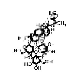 C=C1C[C@@]23CC[C@H]4[C@@](C)(CCC[C@@]4(C)C(=O)N[C@@H](C)C(=O)OC)[C@@H]2CC[C@]1(O[C@@H]1O[C@H](CO)[C@@H](O)[C@H](O[C@@H]2O[C@H](CO)[C@@H](O)[C@H](O)[C@H]2O)[C@H]1O[C@@H]1O[C@H](CO)[C@@H](O)[C@H](O)[C@H]1O)C3